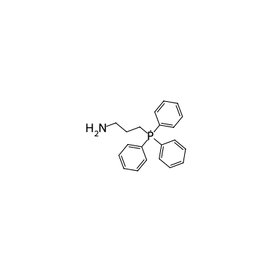 NCCC[P](c1ccccc1)(c1ccccc1)c1ccccc1